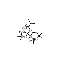 C=C(C)C(=O)OC(O[Si](C)(C)C)([SiH2]O)[Si]1(C)CCC(C)(C)O[Si]1(C)C